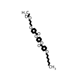 C=CC(=O)OCCCCOc1ccc(C(=O)Oc2ccc(OC(=O)c3ccc(OCCCCCCCC)cc3)cc2)cc1